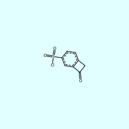 O=C1Cc2ccc(S(=O)(=O)Cl)cc21